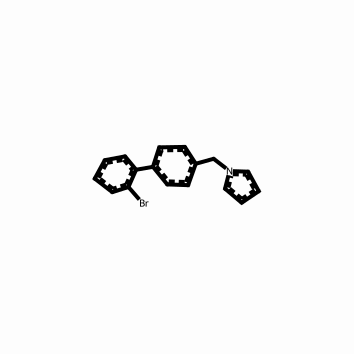 Brc1ccccc1-c1ccc(Cn2cccc2)cc1